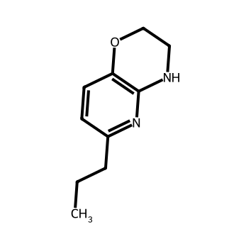 CCCc1ccc2c(n1)NCCO2